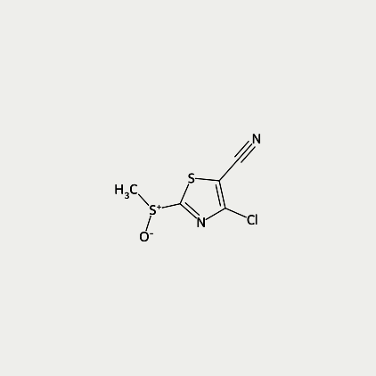 C[S+]([O-])c1nc(Cl)c(C#N)s1